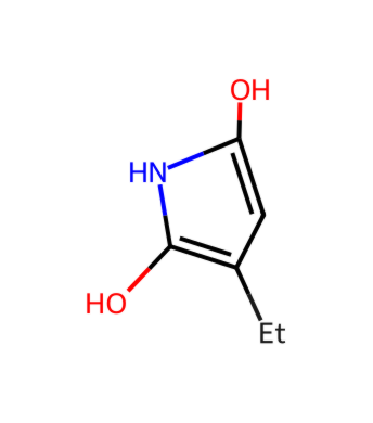 CCc1cc(O)[nH]c1O